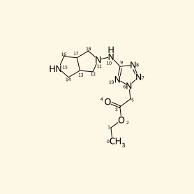 CCOC(=O)Cn1nnc(NN2CC3CNCC3C2)n1